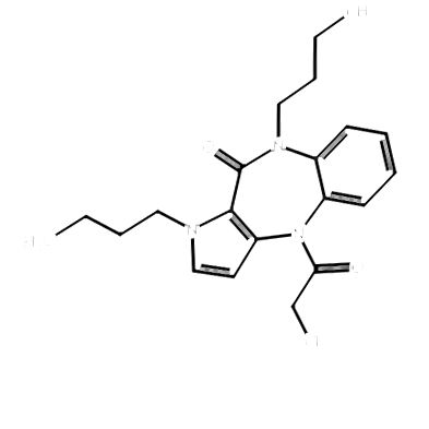 CCCCN1C(=O)c2c(ccn2CCCC)N(C(=O)CCl)c2ccccc21